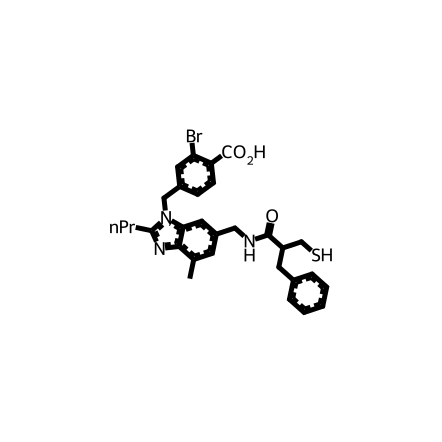 CCCc1nc2c(C)cc(CNC(=O)C(CS)Cc3ccccc3)cc2n1Cc1ccc(C(=O)O)c(Br)c1